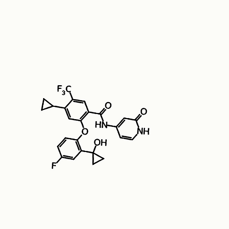 O=C(Nc1cc[nH]c(=O)c1)c1cc(C(F)(F)F)c(C2CC2)cc1Oc1ccc(F)cc1C1(O)CC1